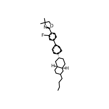 CCCCC1CC[C@@H]2C[C@H](c3ccc(-c4ccc(C5=NC(C)(C)CO5)c(F)c4)cc3)CC[C@@H]2C1